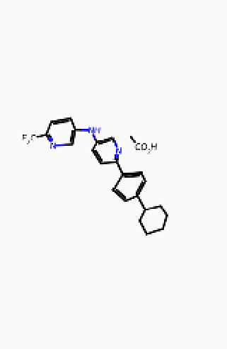 CC(=O)O.FC(F)(F)c1ccc(Nc2ccc(-c3ccc(C4CCCCC4)cc3)nc2)cn1